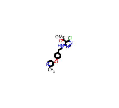 COC(=O)c1c(Cl)ncnc1NCCc1ccc(Oc2ccnc(C(F)(F)F)c2)cc1